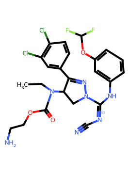 CCN(C(=O)OCCN)C1CN(/C(=N\C#N)Nc2cccc(OC(F)F)c2)N=C1c1ccc(Cl)c(Cl)c1